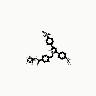 CS(=O)(=O)c1ccc(-c2cc(-c3ccc(OC(F)(F)F)cc3)n(Cc3ccc(C(=O)Nc4nn[nH]n4)cc3)n2)cc1